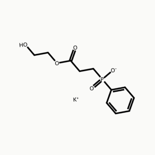 O=C(CCP(=O)([O-])c1ccccc1)OCCO.[K+]